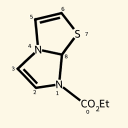 CCOC(=O)N1C=CN2C=CSC21